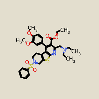 CCOC(=O)c1c(CN(CC)CC)nc2sc3c(c2c1-c1ccc(OC)c(OC)c1)CCN(S(=O)(=O)c1ccccc1)C3